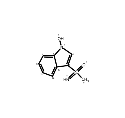 CS(=N)(=O)c1cn(O)c2ccccc12